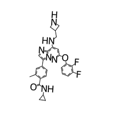 Cc1cc(-c2cnc3c(NCC4CNC4)cc(Oc4cccc(F)c4F)nn23)ccc1C(=O)NC1CC1